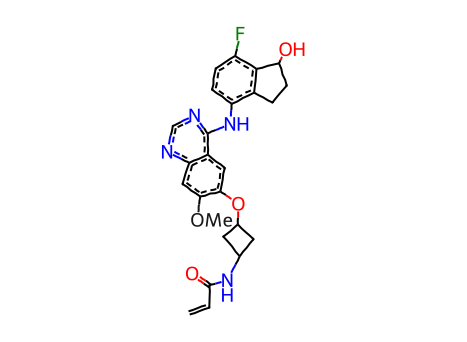 C=CC(=O)NC1CC(Oc2cc3c(Nc4ccc(F)c5c4CCC5O)ncnc3cc2OC)C1